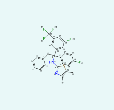 Cc1nc(NC(Cc2ccccc2)(c2ccc(F)cc2)c2cc(F)cc(C(F)(F)F)c2)sc1C